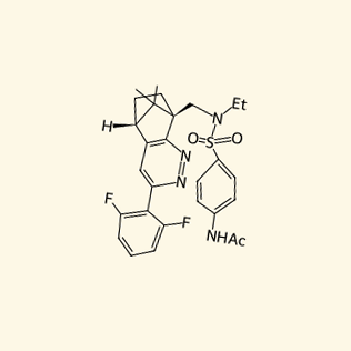 CCN(C[C@@]12CC[C@@H](c3cc(-c4c(F)cccc4F)nnc31)C2(C)C)S(=O)(=O)c1ccc(NC(C)=O)cc1